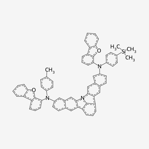 Cc1ccc(N(c2ccc3cc4c5cccc6c7cc8ccc(N(c9ccc([Si](C)(C)C)cc9)c9cccc%10c9oc9ccccc9%10)cc8cc7n(c4cc3c2)c56)c2cccc3c2oc2ccccc23)cc1